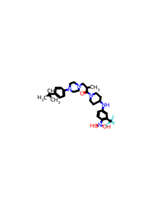 CC(CN1CCN(c2ccc(C(C)(C)C)cc2)CC1)C(=O)N1CCC(Nc2ccc(N(O)O)c(C(F)(F)F)c2)CC1